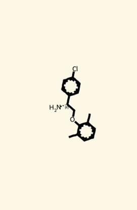 Cc1cccc(C)c1OC[C@H](N)c1ccc(Cl)cc1